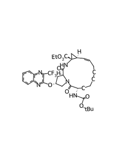 CCOC(=O)[C@@]12C[C@H]1/C=C\CCCCC[C@H](NC(=O)OC(C)(C)C)C(=O)N1C[C@H](Oc3nc4ccccc4nc3C(F)(F)F)C[C@H]1C(=O)N2